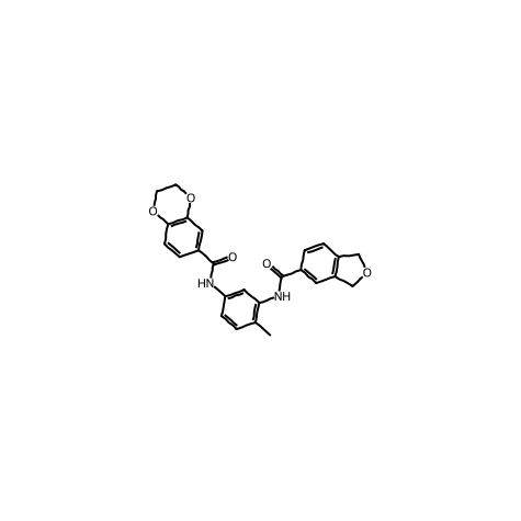 Cc1ccc(NC(=O)c2ccc3c(c2)OCCO3)cc1NC(=O)c1ccc2c(c1)COC2